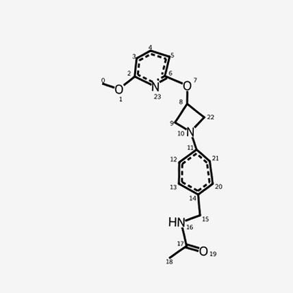 COc1cccc(OC2CN(c3ccc(CNC(C)=O)cc3)C2)n1